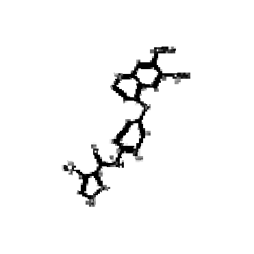 COc1cc2nccc(Oc3ccc(NC(=O)c4n[nH]cc4C)nc3)c2cc1OC